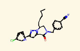 CCCCC1CN(Cc2ccc(C#N)cc2)C(=O)c2cc(-c3ccc(Cl)cn3)nn21